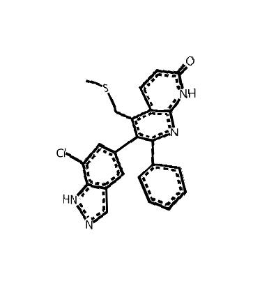 CSCc1c(-c2cc(Cl)c3[nH]ncc3c2)c(-c2ccccc2)nc2[nH]c(=O)ccc12